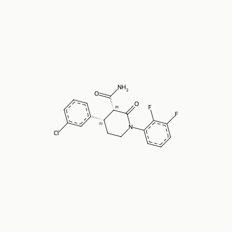 NC(=O)[C@@H]1C(=O)N(c2cccc(F)c2F)CC[C@@H]1c1cccc(Cl)c1